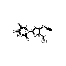 C#COC1C[C@H](n2cc(C)c(=O)[nH]c2=O)O[C@@H]1CO